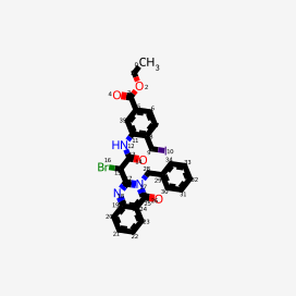 CCOC(=O)c1ccc(CI)c(NC(=O)C(Br)c2nc3ccccc3c(=O)n2Cc2ccccc2)c1